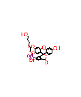 O=C1OC2(c3ccc(O)cc3Oc3cc(O)ccc32)c2cc(P(=O)(O)OCCCCCCO)ccc21